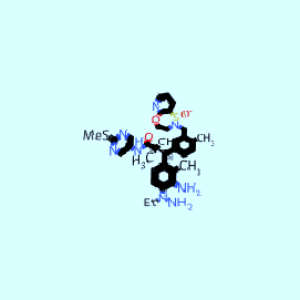 CCN(N)c1ccc([C@H](c2ccc(C)c(CN3CCOc4ncccc4[S+]3[O-])c2)C(C)(C)C(=O)Nc2cnc(SC)nc2)c(C)c1N